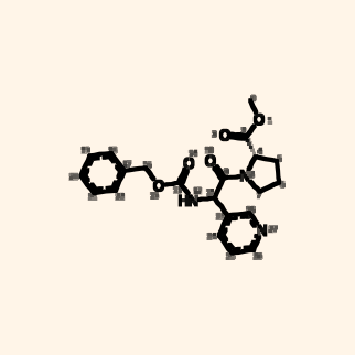 COC(=O)[C@@H]1CCCN1C(=O)C(NC(=O)OCc1ccccc1)c1cccnc1